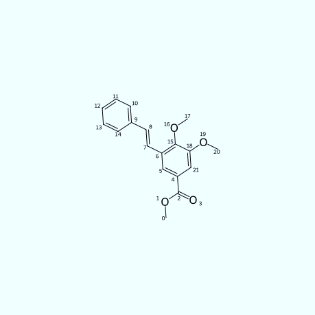 COC(=O)c1cc(C=Cc2ccccc2)c(OC)c(OC)c1